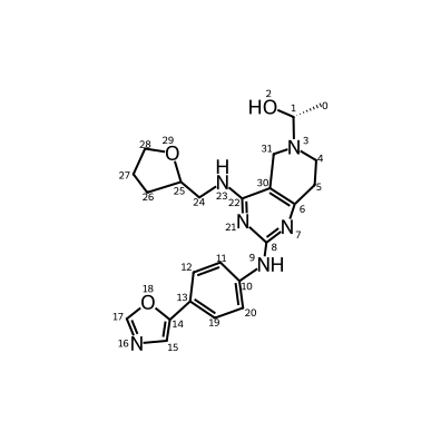 C[C@@H](O)N1CCc2nc(Nc3ccc(-c4cnco4)cc3)nc(NCC3CCCO3)c2C1